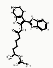 CC(CCCCC(=O)Nc1sc2c(c1-c1nc3ccccc3s1)CCNC2)OC(N)=O